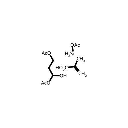 C=C(C)C(=O)O.CC(=O)OCCC(O)OC(C)=O.CC(=O)O[SiH3]